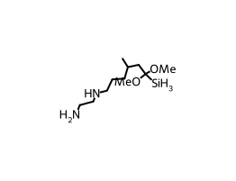 COC([SiH3])(CC(C)CCCNCCN)OC